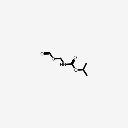 CC(C)OC(=O)NCOC=O